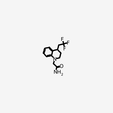 NC(=O)CN1CCC(CC(F)(F)F)c2ccccc21